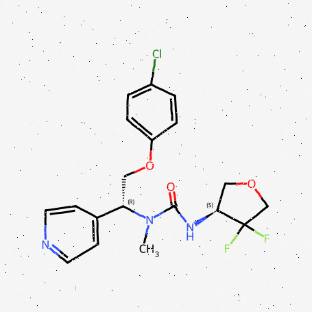 CN(C(=O)N[C@H]1COCC1(F)F)[C@@H](COc1ccc(Cl)cc1)c1ccncc1